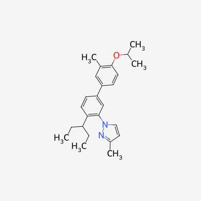 CCC(CC)c1ccc(-c2ccc(OC(C)C)c(C)c2)cc1-n1ccc(C)n1